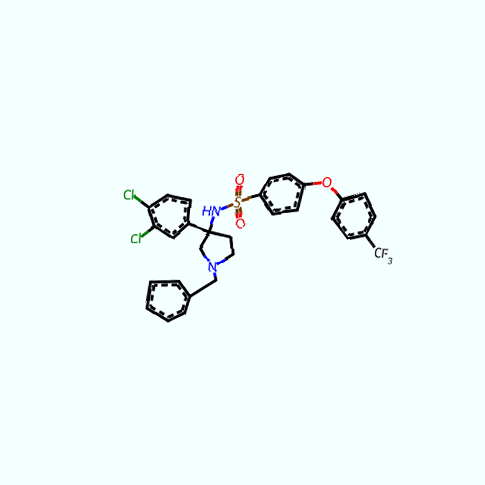 O=S(=O)(NC1(c2ccc(Cl)c(Cl)c2)CCN(Cc2ccccc2)C1)c1ccc(Oc2ccc(C(F)(F)F)cc2)cc1